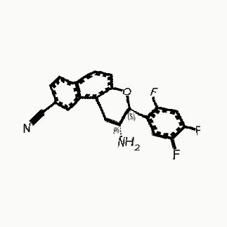 N#Cc1ccc2ccc3c(c2c1)C[C@@H](N)[C@H](c1cc(F)c(F)cc1F)O3